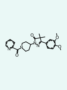 COc1ccc(C2=NN(C3CCN(C(=O)c4ccccn4)CC3)C(=O)C2(C)C)cc1OC